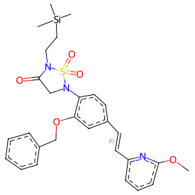 COc1cccc(/C=C/c2ccc(N3CC(=O)N(CC[Si](C)(C)C)S3(=O)=O)c(OCc3ccccc3)c2)n1